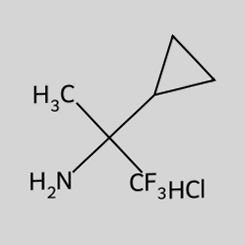 CC(N)(C1CC1)C(F)(F)F.Cl